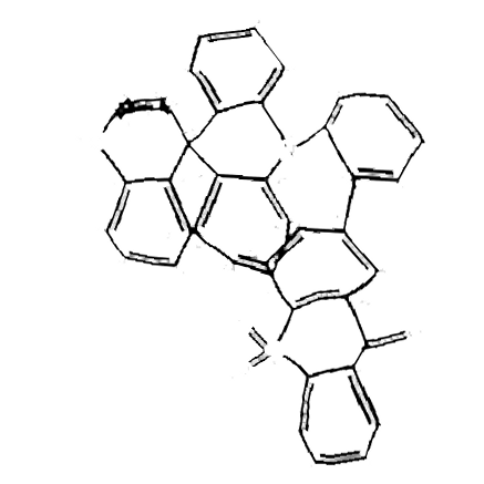 O=C1c2ccccc2S(=O)(=O)c2ccc(-c3ccccc3N3c4ccccc4C4(c5ccccc5Oc5ccccc54)c4ccccc43)cc21